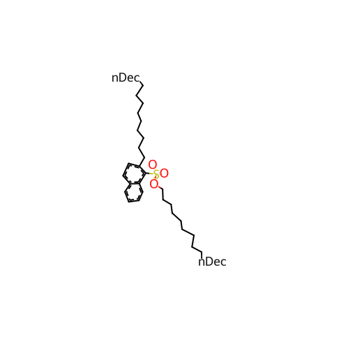 CCCCCCCCCCCCCCCCCCCOS(=O)(=O)c1c(CCCCCCCCCCCCCCCCCCC)ccc2ccccc12